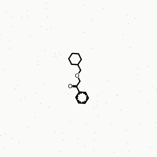 O=C(COCC1CCCCC1)c1ccccc1